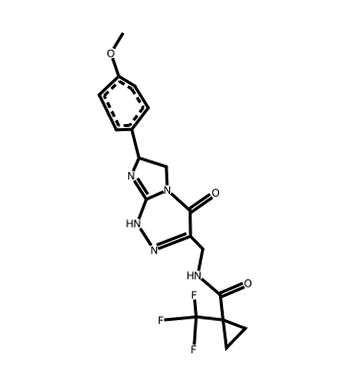 COc1ccc(C2CN3C(=O)C(CNC(=O)C4(C(F)(F)F)CC4)=NNC3=N2)cc1